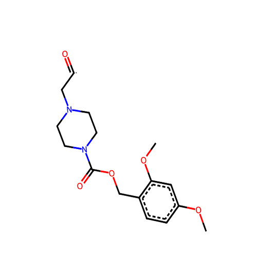 COc1ccc(COC(=O)N2CCN(C[C]=O)CC2)c(OC)c1